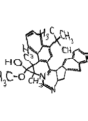 COC1(O)C2(C)c3c(cc(C(C)(C)C)c4ccccc34)C3=[N+](C=NC4Cc5cc6ccccc6cc5C34)C12C